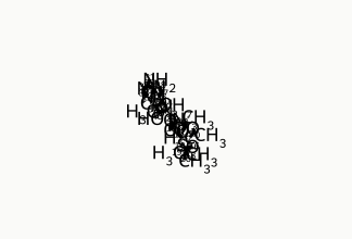 CC(C)OC(=O)[C@@H](C)N[P@@](=O)(OCCSC(=O)C(C)(C)C)OC[C@H]1O[C@@H](n2cnc3c(N)ncnc32)[C@](C)(Cl)[C@@H]1O